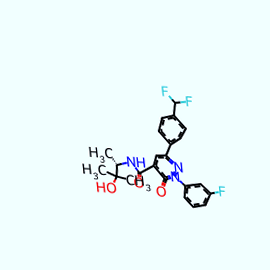 C[C@H](NC(=O)c1cc(-c2ccc(C(F)F)cc2)nn(-c2cccc(F)c2)c1=O)C(C)(C)O